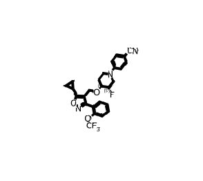 N#Cc1ccc(N2CC[C@H](OCc3c(-c4ccccc4OC(F)(F)F)noc3C3CC3)[C@@H](F)C2)cc1